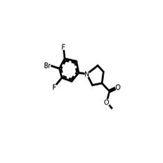 COC(=O)C1CCN(c2cc(F)c(Br)c(F)c2)C1